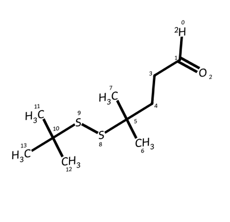 [2H]C(=O)CCC(C)(C)SSC(C)(C)C